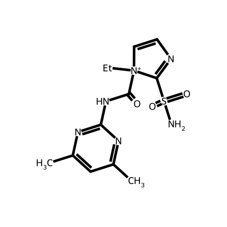 CC[N+]1(C(=O)Nc2nc(C)cc(C)n2)C=CN=C1S(N)(=O)=O